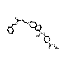 CC(=O)N(OC1CCN(C(=O)OC(C)(C)C)CC1)c1ccc2c(c1)CN(CCC(=O)OCc1ccccc1)CC2